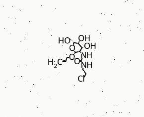 C=CCOC1O[C@H](CO)[C@@H](O)[C@H](O)[C@H]1NC(=O)NCCCl